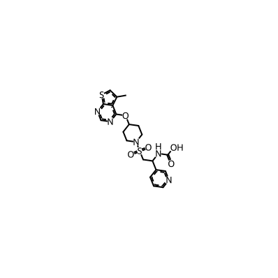 Cc1csc2ncnc(OC3CCN(S(=O)(=O)CC(NC(=O)O)c4cccnc4)CC3)c12